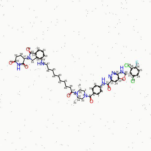 C[C@@H]1CN(C(=O)c2ccc(NC(=O)c3cc4c(nn3)N[C@H](c3c(Cl)ccc(F)c3Cl)O4)cc2)C[C@H](C)N1C(=O)CCCCCCCCCNc1cccc2c1CN(C1CCC(=O)NC1=O)C2=O